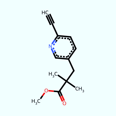 C#Cc1ccc(CC(C)(C)C(=O)OC)cn1